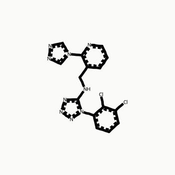 Clc1cccc(-n2nnnc2NCc2cccnc2-n2cnnc2)c1Cl